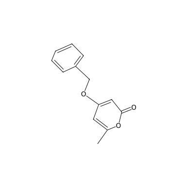 Cc1cc(OCc2ccccc2)cc(=O)o1